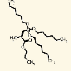 CCCCCCO[Si](C=C(C)C(=O)OCCC)(OCCCCCC)OCCCCCC